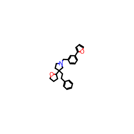 c1ccc(CCC2(C3CCCO3)CCN(Cc3cccc(-c4ccco4)c3)C2)cc1